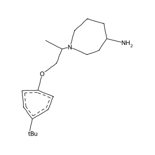 CC(COc1ccc(C(C)(C)C)cc1)N1CCCC(N)CC1